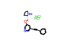 CN1CCC[C@H]1COc1cncc(C#Cc2ccccc2)c1.Cl.Cl